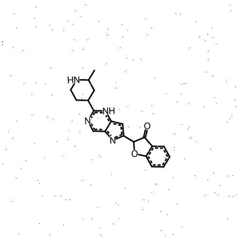 CC1CC(c2ncc3nc(C4Oc5ccccc5C4=O)cc-3[nH]2)CCN1